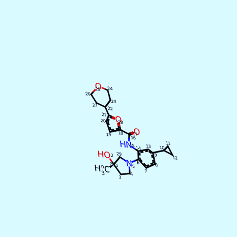 C[C@]1(O)CCN(c2ccc(C3CC3)cc2NC(=O)c2ccc(C3CCOCC3)o2)C1